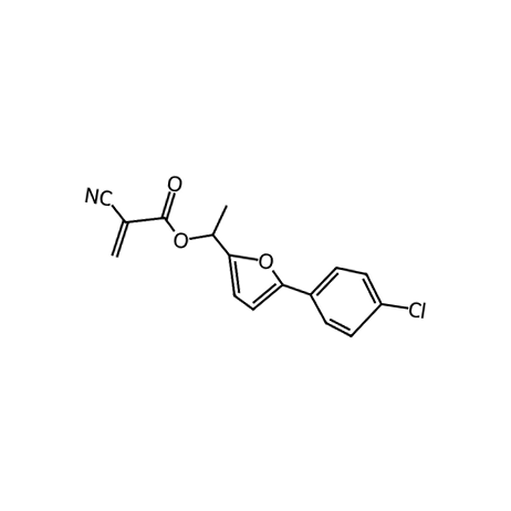 C=C(C#N)C(=O)OC(C)c1ccc(-c2ccc(Cl)cc2)o1